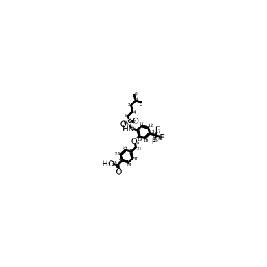 CC(C)CCCS(=O)(=O)Nc1ccc(C(F)(F)F)cc1OCc1ccc(C(=O)O)cc1